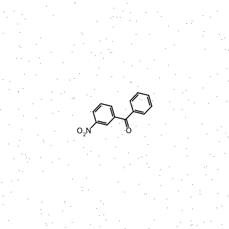 O=C(c1ccccc1)c1cc[c]c([N+](=O)[O-])c1